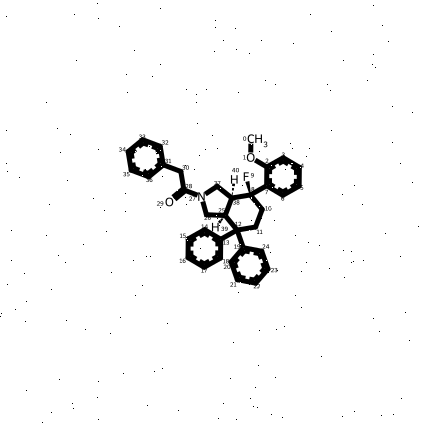 COc1ccccc1[C@]1(F)CCC(c2ccccc2)(c2ccccc2)[C@H]2CN(C(=O)Cc3ccccc3)C[C@H]21